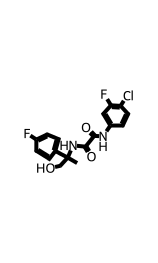 CC(CO)(NC(=O)C(=O)Nc1ccc(Cl)c(F)c1)c1ccc(F)cc1